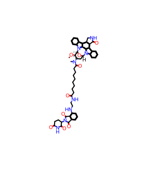 CO[C@@H]1[C@H](N(C)C(=O)CCCCCCCCC(=O)NCCNc2cccc3c2C(=O)N(C2CCC(=O)NC2=O)C3=O)C[C@H]2O[C@]1(C)n1c3ccccc3c3c4c(c5c6ccccc6n2c5c31)C(=O)NC4